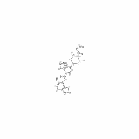 CC1CC(c2cnc(NCc3c(F)ccc4c3CCO4)n3cnnc23)CC(C)N1C(=O)OC(C)(C)C